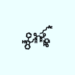 CC(=O)CCCCC[C@H](NC(=O)[C@@H]1CSC(=O)N1)C(=O)NCCc1c(-c2ccccc2)[nH]c2ccccc12